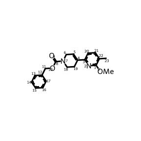 COc1nc(C2=CCN(C(=O)OCc3ccccc3)CC2)ccc1C